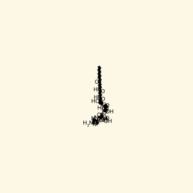 CCCCCC=CCC(=O)SCCNC(=O)CCNC(=O)[C@H](O)C(C)(C)COP(=O)(O)OP(=O)(O)OC[C@H]1O[C@@H](n2cnc3c(N)ncnc32)[C@H](O)[C@@H]1OP(=O)(O)O